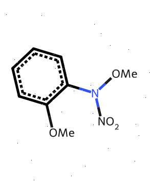 COc1ccccc1N(OC)[N+](=O)[O-]